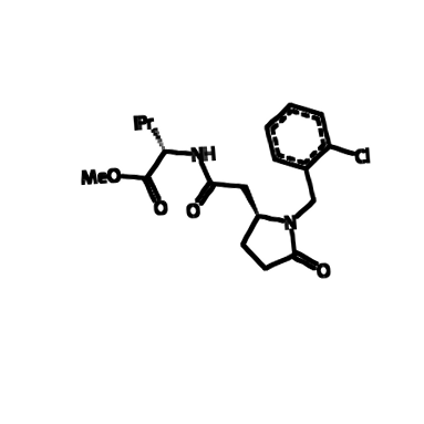 COC(=O)[C@@H](NC(=O)C[C@@H]1CCC(=O)N1Cc1ccccc1Cl)C(C)C